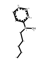 CCCCCN(O)c1ccnnn1